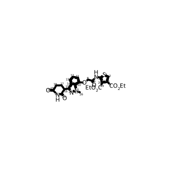 CCOC(=O)c1csc(NC(=O)COc2cccc3c(C4CCC(=O)NC4=O)nn(C)c23)c1C(=O)OCC